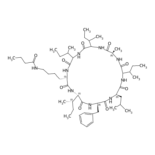 CCCC(=O)NCCCC[C@@H]1NC(=O)C(C(C)CC)NC(=O)C(C(C)CC)NC(=O)[C@@H](C)NC(=O)C(C(C)CC)NC(=O)[C@@H](CC(C)C)NC(=O)[C@@H](Cc2ccccc2)NC(=O)[C@H]([C@@H](C)CC)NC1=O